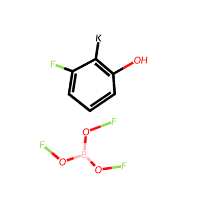 FOB(OF)OF.Oc1cccc(F)[c]1[K]